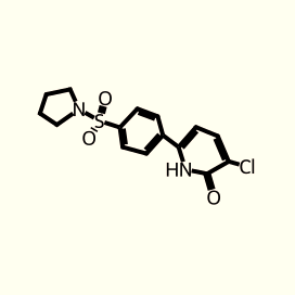 O=c1[nH]c(-c2ccc(S(=O)(=O)N3CCCC3)cc2)ccc1Cl